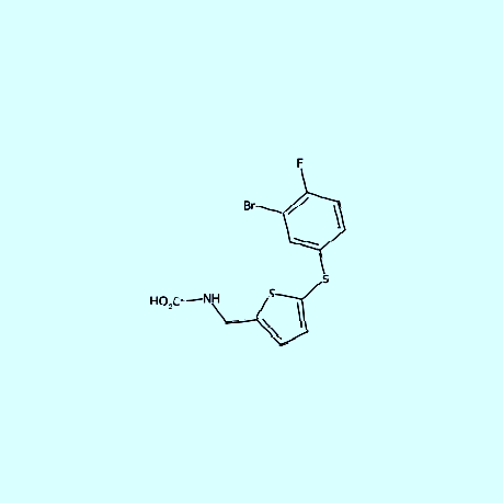 O=C(O)NCc1ccc(Sc2ccc(F)c(Br)c2)s1